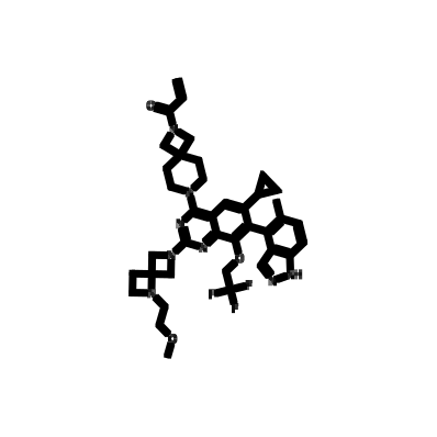 C=CC(=O)N1CC2(CCN(c3nc(N4CC5(CCN5CCOC)C4)nc4c(OCC(F)(F)F)c(-c5c(C)ccc6[nH]ncc56)c(C5CC5)cc34)CC2)C1